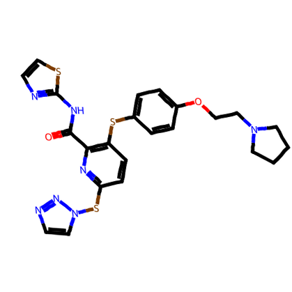 O=C(Nc1nccs1)c1nc(Sn2ccnn2)ccc1Sc1ccc(OCCN2CCCC2)cc1